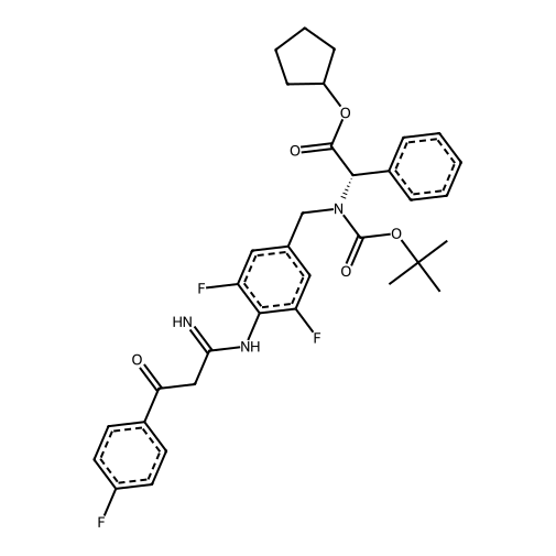 CC(C)(C)OC(=O)N(Cc1cc(F)c(NC(=N)CC(=O)c2ccc(F)cc2)c(F)c1)[C@H](C(=O)OC1CCCC1)c1ccccc1